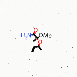 C=CC(C)OC(C)(OC)C(N)=O